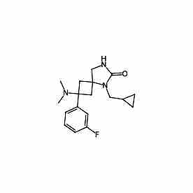 CN(C)C1(c2cccc(F)c2)CC2(CNC(=O)N2CC2CC2)C1